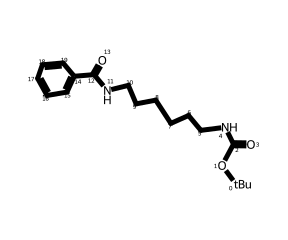 CC(C)(C)OC(=O)NCCCCCCNC(=O)c1c[c]ccc1